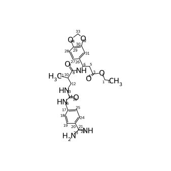 CCOC(=O)CC(NC(=O)C(C)CNC(=O)Nc1ccc(C(=N)N)cc1)c1ccc2c(c1)OCO2